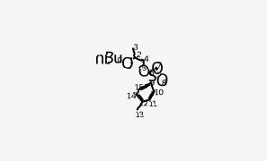 CCCCOC(C)COS(=O)(=O)c1ccc(C)cc1